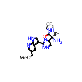 COCc1cnc2[nH]cc(-c3nncc([C@](N)(C(=O)NCC(F)(F)F)C(C)C)n3)c2c1